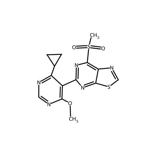 COc1ncnc(C2CC2)c1-c1nc(S(C)(=O)=O)c2ncsc2n1